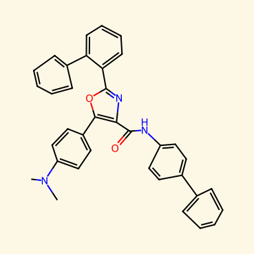 CN(C)c1ccc(-c2oc(-c3ccccc3-c3ccccc3)nc2C(=O)Nc2ccc(-c3ccccc3)cc2)cc1